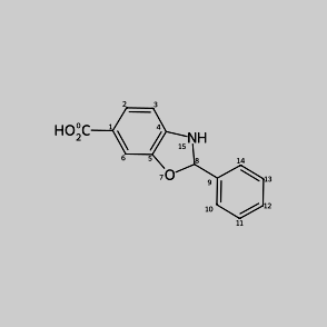 O=C(O)c1ccc2c(c1)OC(c1ccccc1)N2